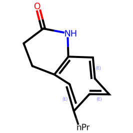 CCCC1=C/C2=C(/C=C/C=C/1)NC(=O)CC2